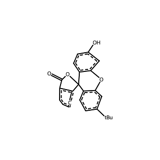 CC(C)(C)c1ccc2c(c1)Oc1cc(O)ccc1C21OC(=O)c2ccccc21